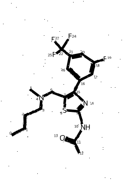 CCCCN(C)Cc1sc(NC(C)=O)nc1-c1cc(F)cc(C(F)(F)F)c1